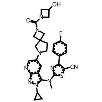 CN(c1nc(-c2ccc(F)cc2)c(C#N)s1)c1c2cc(N3CCC4(CN(C(=O)N5CC(O)C5)C4)C3)cnc2nn1C1CC1